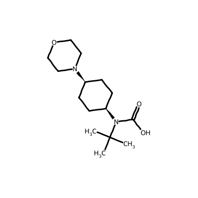 CC(C)(C)N(C(=O)O)[C@H]1CC[C@@H](N2CCOCC2)CC1